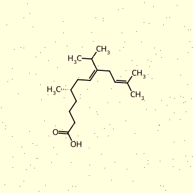 CC(C)=CCC(=CC[C@@H](C)CCCC(=O)O)C(C)C